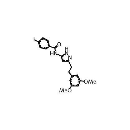 COc1cc(CCc2cc(NC(=O)c3ccc(I)cc3)[nH]n2)cc(OC)c1